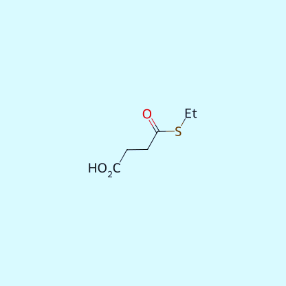 CCSC(=O)CCC(=O)O